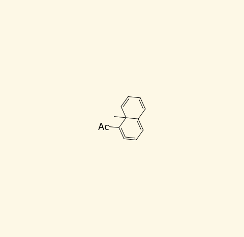 CC(=O)C1=C=CC=C2C=CC=CC12C